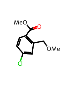 COCc1cc(Cl)ccc1C(=O)OC